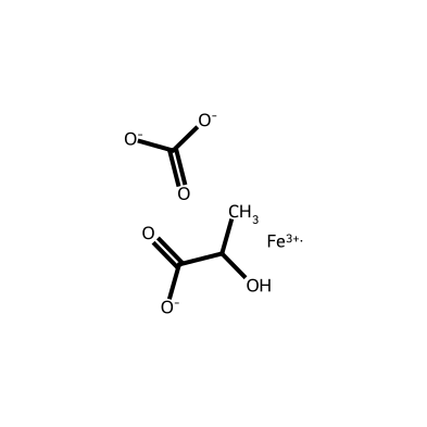 CC(O)C(=O)[O-].O=C([O-])[O-].[Fe+3]